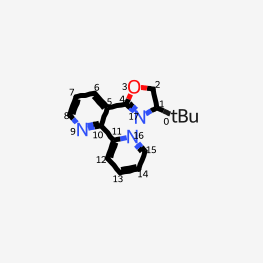 CC(C)(C)C1COC(c2cccnc2-c2ccccn2)=N1